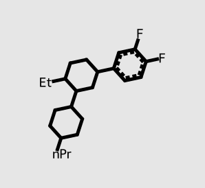 CCCC1CCC(C2CC(c3ccc(F)c(F)c3)CCC2CC)CC1